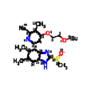 CCC(C)OCCOc1ccn[c]([Na])c1C.Cc1cc2nc([S+](C)[O-])[nH]c2cc1C